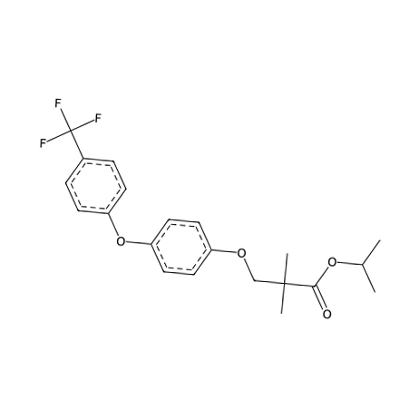 CC(C)OC(=O)C(C)(C)COc1ccc(Oc2ccc(C(F)(F)F)cc2)cc1